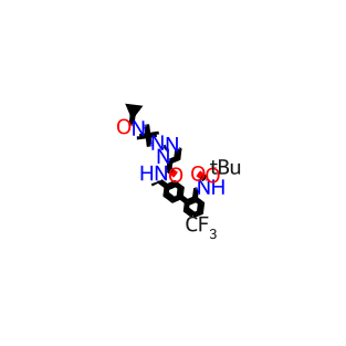 C[C@@H](NC(=O)c1ccnc(N2CC3(CN(C(=O)C4CC4)C3)C2)n1)c1ccc(-c2cc(C(F)(F)F)ccc2CNC(=O)OC(C)(C)C)cc1